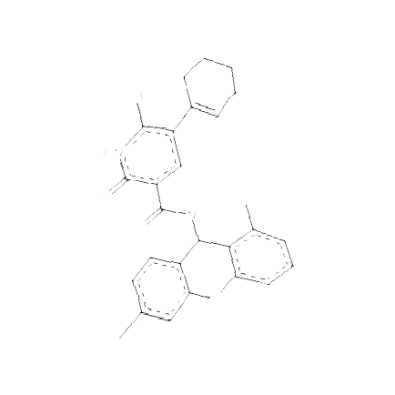 Cc1ccc2c(c1)Oc1cccc(C)c1C2NC(=O)c1cc(C2=CCCCC2)c(C(F)(F)F)[nH]c1=O